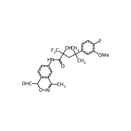 COc1cc(C(C)(C)CC(O)(C(=O)Nc2ccc3c(c2)C(C)=NOC3C=O)C(F)(F)F)ccc1F